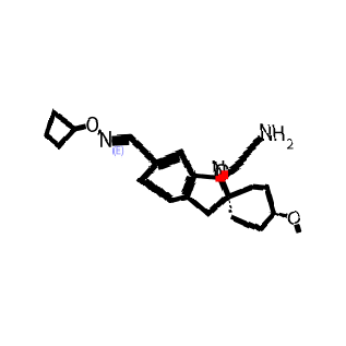 CO[C@H]1CC[C@]2(CC1)Cc1ccc(/C=N/OC3CCC3)cc1C21COC(N)=N1